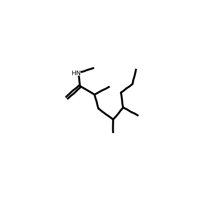 C=C(NC)C(C)CC(C)C(C)CCC